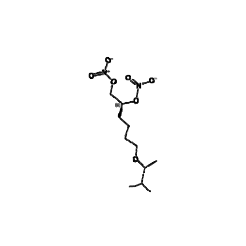 CC(C)C(C)OCCCC[C@@H](CO[N+](=O)[O-])O[N+](=O)[O-]